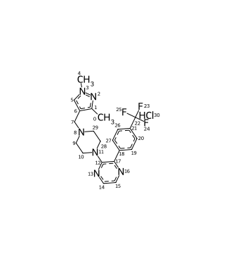 Cc1nn(C)cc1CN1CCN(c2nccnc2-c2ccc(C(F)(F)F)cc2)CC1.Cl